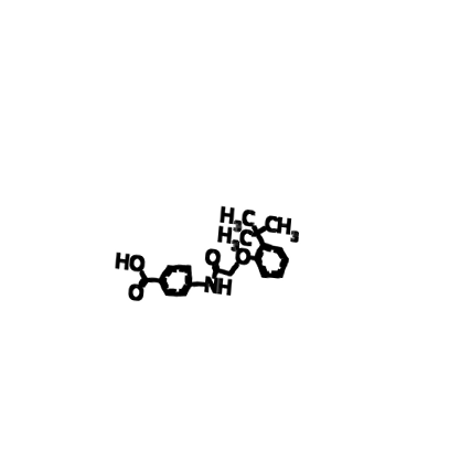 CC(C)(C)c1ccccc1OCC(=O)Nc1ccc(C(=O)O)cc1